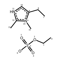 CCOS(=O)(=O)[O-].CCc1c[nH]c(C)[n+]1C